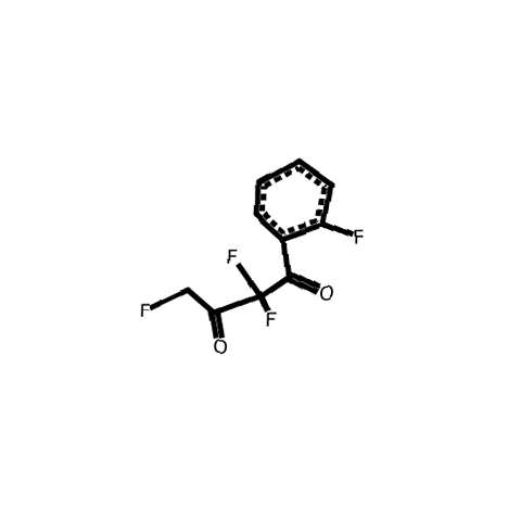 O=C(CF)C(F)(F)C(=O)c1ccccc1F